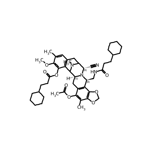 COc1c(C)cc2c(c1OC(=O)CCC1CCCCC1)C1[C@@H]3Cc4c(OC(C)=O)c(C)c5c(c4[C@H](CNC(=O)CCC4CCCCC4)N3[C@@H](C#N)C(C2)N1C)OCO5